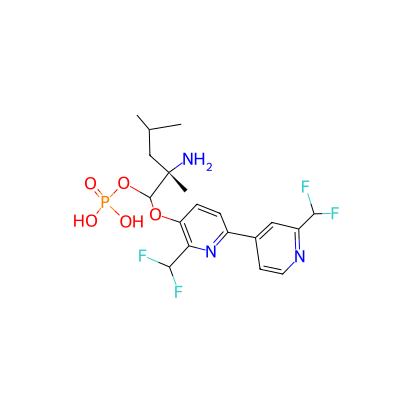 CC(C)C[C@](C)(N)C(Oc1ccc(-c2ccnc(C(F)F)c2)nc1C(F)F)OP(=O)(O)O